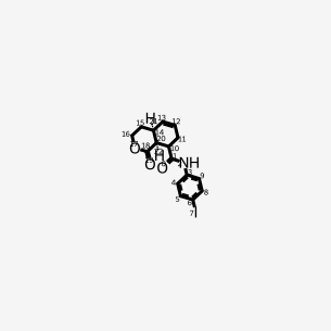 O=C(Nc1ccc(I)cc1)C1CC=C[C@@H]2CCOC(=O)[C@H]12